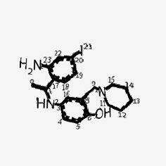 C=C(Nc1ccc(O)c(CN2CCCCC2)c1)c1ccc(I)cc1N